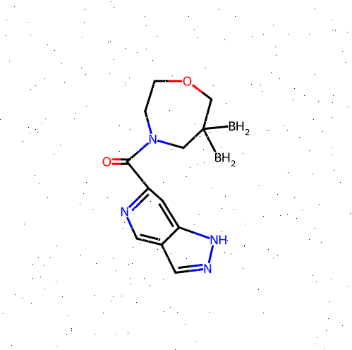 BC1(B)COCCN(C(=O)c2cc3[nH]ncc3cn2)C1